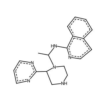 CC(Nc1nccc2ccccc12)N1CCNCC1c1ncccn1